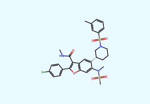 CNC(=O)c1c(-c2ccc(F)cc2)oc2cc(N(C)S(C)(=O)=O)c([C@H]3CCCN(S(=O)(=O)c4cccc(C)c4)C3)cc12